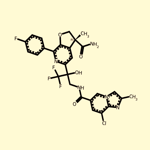 Cc1cn2cc(C(=O)NCC(O)(c3cc4c(c(-c5ccc(F)cc5)n3)OC[C@]4(C)C(N)=O)C(F)(F)F)cc(Cl)c2n1